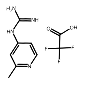 Cc1cc(NC(=N)N)ccn1.O=C(O)C(F)(F)F